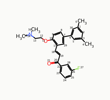 Cc1cc(C)cc(-c2ccc(OCCN(C)C)c(C=CC(=O)c3cccc(F)c3)c2)c1